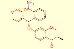 C[C@@H]1COc2cc(O[C@@H](c3ccncc3)c3ccccc3C(N)=O)ccc2C1=O